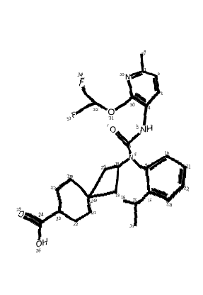 Cc1ccc(NC(=O)N(c2ccccc2C(C)C)C2CC3(CCC(C(=O)O)CC3)C2)c(OC(F)F)n1